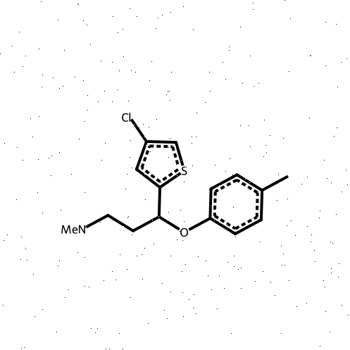 CNCCC(Oc1ccc(C)cc1)c1cc(Cl)cs1